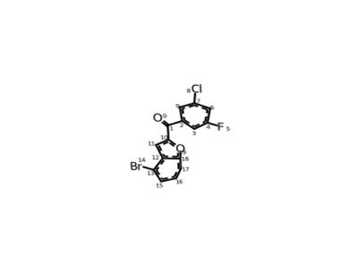 O=C(c1cc(F)cc(Cl)c1)c1cc2c(Br)cccc2o1